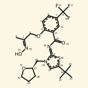 CC(COc1ccc(C(F)(F)F)cc1C(=O)/N=c1\sc(C(C)(C)C)cn1C[C@H]1CCCO1)=NO